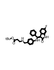 CC(C)(C)OC(=O)CCNCc1ccc(N/C(=C2\C(=O)Nc3cc(F)ccc32)c2ccccc2)cc1